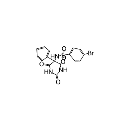 O=C1NC(=O)C(NS(=O)(=O)c2ccc(Br)cc2)(c2ccccc2)C(=O)N1